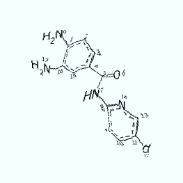 Nc1ccc(C(=O)Nc2ccc(Cl)cn2)cc1N